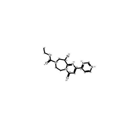 CCOC(=O)N1CCn2c(nc(-c3ccncn3)cc2=O)C(Br)C1